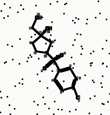 O=S(=O)(c1ccc(Cl)nc1)N1CC[C@](O)(CO)C1